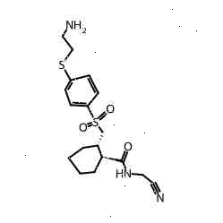 N#CCNC(=O)[C@H]1CCCC[C@@H]1CS(=O)(=O)c1ccc(SCCN)cc1